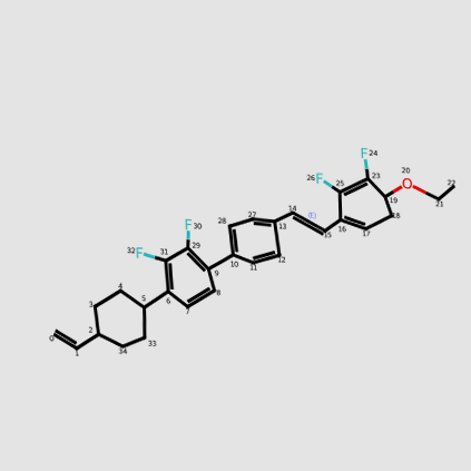 C=CC1CCC(c2ccc(-c3ccc(/C=C/C4=CCC(OCC)C(F)=C4F)cc3)c(F)c2F)CC1